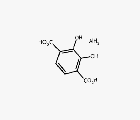 O=C(O)c1ccc(C(=O)O)c(O)c1O.[AlH3]